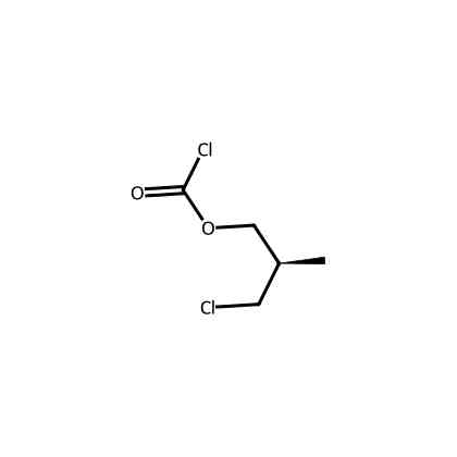 C[C@@H](CCl)COC(=O)Cl